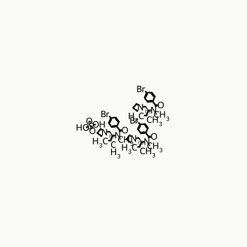 CC(C)[C@@H](CN1CCC1)N(C)C(=O)c1ccc(Br)cc1.CC(C)[C@@H](CN1CCC1)N(C)C(=O)c1ccc(Br)cc1.CC(C)[C@@H](CN1CCC1)N(C)C(=O)c1ccc(Br)cc1.O=S(=O)(O)O